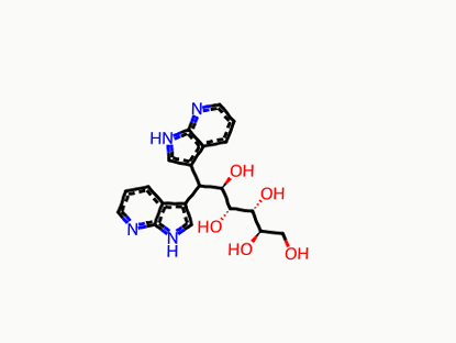 OC[C@@H](O)[C@@H](O)[C@H](O)[C@H](O)C(c1c[nH]c2ncccc12)c1c[nH]c2ncccc12